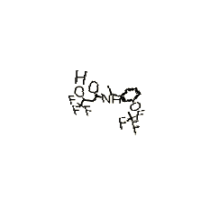 CC(NC(=O)CC(O)C(F)(F)F)c1cccc(OCC(F)(F)F)c1